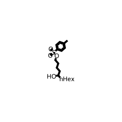 CCCCCCC(O)CCCCOS(=O)(=O)c1ccc(C)cc1